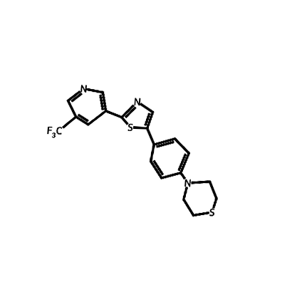 FC(F)(F)c1cncc(-c2ncc(-c3ccc(N4CCSCC4)cc3)s2)c1